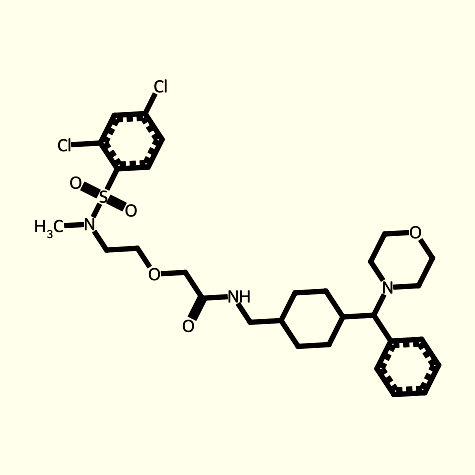 CN(CCOCC(=O)NCC1CCC(C(c2ccccc2)N2CCOCC2)CC1)S(=O)(=O)c1ccc(Cl)cc1Cl